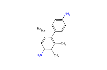 Cc1c(N)ccc(-c2ccc(N)cc2)c1C.[Na].[Na]